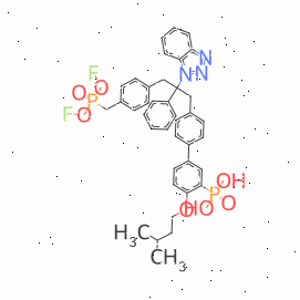 CC(C)CCOc1ccc(-c2ccc(CC(Cc3ccc(CP(=O)(OF)OF)cc3)(c3ccccc3)n3nnc4ccccc43)cc2)cc1P(=O)(O)O